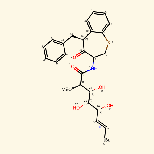 CO[C@@H](C(=O)NC1CSc2ccccc2[C@H](Cc2ccccc2)C1=O)[C@H](O)[C@@H](O)[C@H](O)/C=C/C(C)(C)C